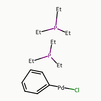 CCP(CC)CC.CCP(CC)CC.[Cl][Pd][c]1ccccc1